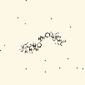 COC(=O)NC(C(=O)N1CCCC1c1nc2ccc(-n3cc(-c4ccc5nc(C6CCCN6C(=O)[C@@H](NC(=O)OC)C(C)C)[nH]c5c4)nn3)cc2[nH]1)C(C)C